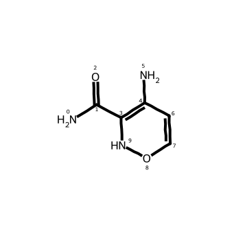 NC(=O)C1=C(N)C=CON1